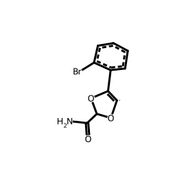 NC(=O)C1O[C]=C(c2ccccc2Br)O1